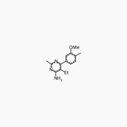 CCc1c(N)nc(C)nc1-c1ccc(C)c(OC)c1